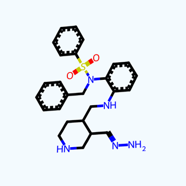 NN=CC1CNCCC1CNc1ccccc1N(Cc1ccccc1)S(=O)(=O)c1ccccc1